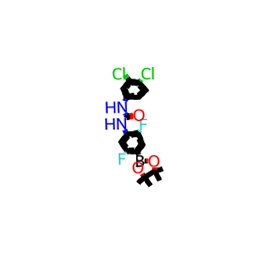 CC1(C)OB(c2cc(F)c(NC(=O)Nc3ccc(Cl)c(Cl)c3)cc2F)OC1(C)C